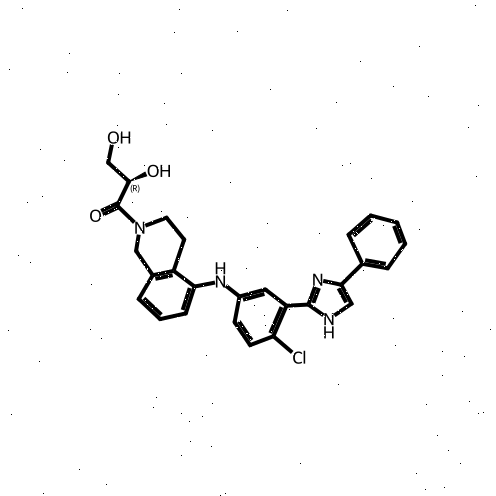 O=C([C@H](O)CO)N1CCc2c(cccc2Nc2ccc(Cl)c(-c3nc(-c4ccccc4)c[nH]3)c2)C1